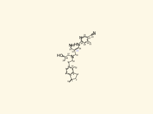 C=C1CCc2c1ccc(CCN(C/C(C=N)=C/Nc1cc(C)c(C#N)cn1)CC(C)O)c2C